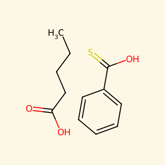 CCCCC(=O)O.OC(=S)c1ccccc1